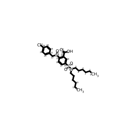 CCCCCCN(CCCCCC)S(=O)(=O)c1ccc([S+]([O-])Cc2ccc(Cl)cc2)c(C(=O)O)c1